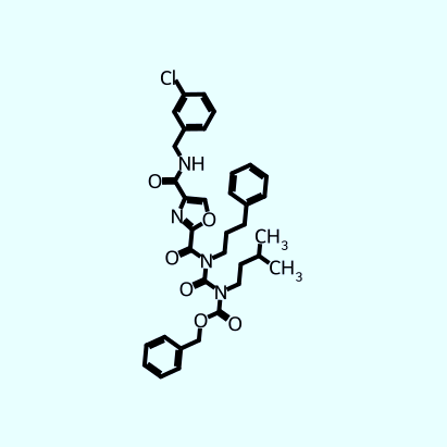 CC(C)CCN(C(=O)OCc1ccccc1)C(=O)N(CCCc1ccccc1)C(=O)c1nc(C(=O)NCc2cccc(Cl)c2)co1